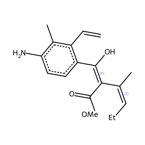 C=Cc1c(/C(O)=C(C(=O)OC)/C(C)=C\CC)ccc(N)c1C